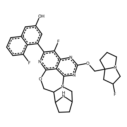 Oc1cc(-c2nc3c4c(nc(OCC56CCCN5CC(F)C6)nc4c2F)N2CC4CCC(N4)C2CO3)c2c(F)cccc2c1